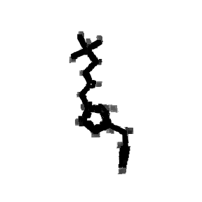 C[Si](C)(C)CCOCn1ncc(CC#N)n1